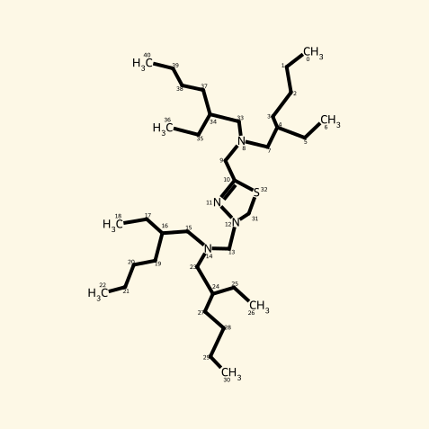 CCCCC(CC)CN(CC1=NN(CN(CC(CC)CCCC)CC(CC)CCCC)CS1)CC(CC)CCCC